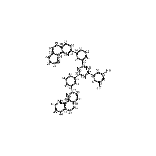 Fc1cc(F)cc(-c2nc(-c3cccc(-c4ccc5ccc6cccnc6c5n4)c3)nc(-c3cccc(-c4ccc5ccc6cccnc6c5n4)c3)n2)c1